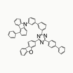 c1ccc(-c2ccc(-c3nc(-c4cccc(-c5cccc(-n6c7ccccc7c7c(-c8ccccc8)cccc76)c5)c4)nc(-c4ccc5c(c4)oc4ccccc45)n3)cc2)cc1